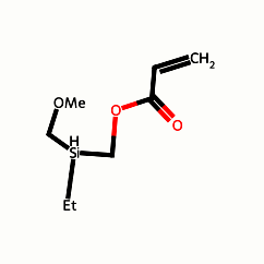 C=CC(=O)OC[SiH](CC)COC